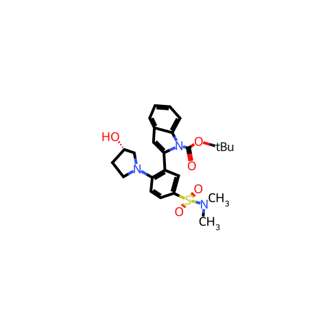 CN(C)S(=O)(=O)c1ccc(N2CC[C@H](O)C2)c(-c2cc3ccccc3n2C(=O)OC(C)(C)C)c1